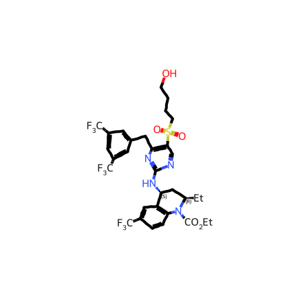 CCOC(=O)N1c2ccc(C(F)(F)F)cc2[C@@H](Nc2ncc(S(=O)(=O)CCCCO)c(Cc3cc(C(F)(F)F)cc(C(F)(F)F)c3)n2)C[C@H]1CC